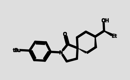 CC[C@H](O)[C@H]1CC[C@@]2(CCN(c3ccc(C(C)(C)C)cc3)C2=O)CC1